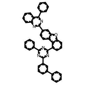 c1ccc(-c2cccc(-c3nc(-c4ccccc4)nc(-c4cccc5oc6cc(-c7nc(-c8ccccc8)c8ccccc8n7)ccc6c45)n3)c2)cc1